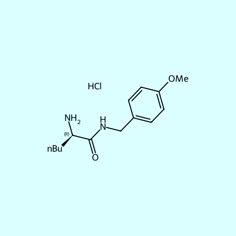 CCCC[C@@H](N)C(=O)NCc1ccc(OC)cc1.Cl